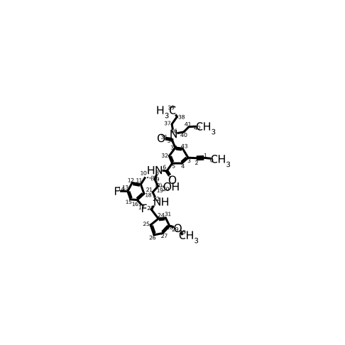 CC#Cc1cc(C(=O)N[C@@H](Cc2cc(F)cc(F)c2)[C@H](O)CNCc2cccc(OC)c2)cc(C(=O)N(CCC)CCC)c1